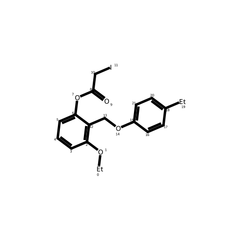 CCOc1cccc(OC(=O)CI)c1COc1ccc(CC)cc1